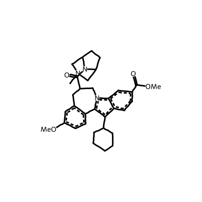 COC(=O)c1ccc2c(C3CCCCC3)c3n(c2c1)CC(C(=O)N1C2CCC1CN(C)C2)Cc1cc(OC)ccc1-3